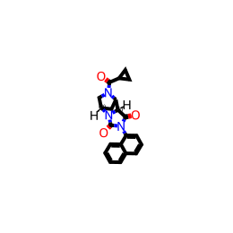 O=C1[C@@H]2C3C[C@H](CN3C(=O)C3CC3)N2C(=O)N1c1cccc2ccccc12